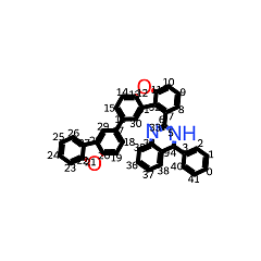 c1ccc(C2NC(c3cccc4oc5ccc(-c6ccc7oc8ccccc8c7c6)cc5c34)=Nc3ccccc32)cc1